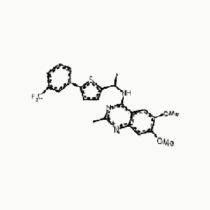 COc1cc2nc(C)nc(NC(C)c3ccc(-c4cccc(C(F)(F)F)c4)s3)c2cc1OC